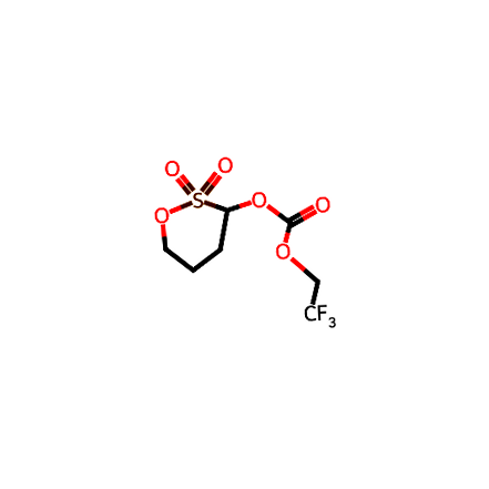 O=C(OCC(F)(F)F)OC1CCCOS1(=O)=O